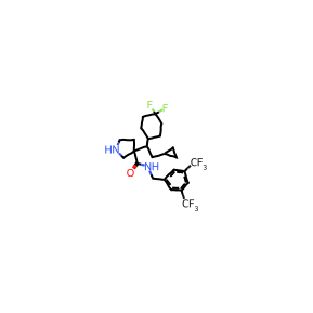 O=C(NCc1cc(C(F)(F)F)cc(C(F)(F)F)c1)C1(C(CC2CC2)C2CCC(F)(F)CC2)CCNC1